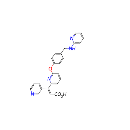 O=C(O)C=C(c1cccnc1)c1cccc(Oc2ccc(CNc3ccccn3)cc2)n1